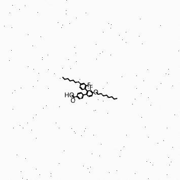 CCCCCCCCOc1ccc(-c2ccc(C(=O)O)cc2)c(-c2ccc(CCCCCCC)cc2F)c1F